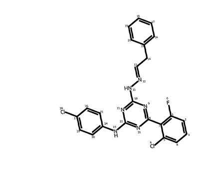 Fc1cccc(Cl)c1-c1nc(NN=CCc2ccccc2)nc(Nc2ccc(Cl)cc2)n1